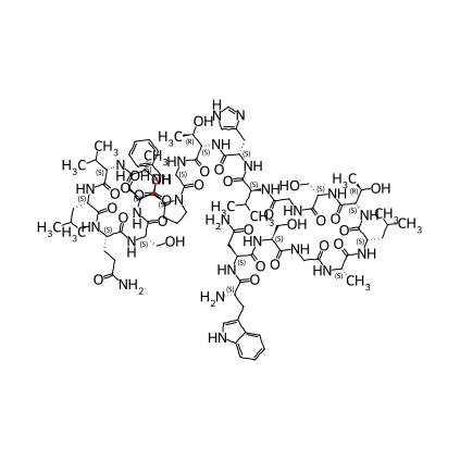 CC(C)C[C@H](NC(=O)[C@H](C)NC(=O)CNC(=O)[C@H](CO)NC(=O)[C@H](CC(N)=O)NC(=O)[C@@H](N)Cc1c[nH]c2ccccc12)C(=O)N[C@H](C(=O)N[C@@H](CO)C(=O)NCC(=O)N[C@H](C(=O)N[C@@H](Cc1c[nH]cn1)C(=O)N[C@H](C(=O)N[C@@H](Cc1ccccc1)C(=O)N1CCC[C@H]1C(=O)N[C@@H](C)C(=O)N[C@H](C(=O)N[C@@H](CC(C)C)C(=O)N[C@@H](CCC(N)=O)C(=O)N[C@@H](CO)C(=O)N[C@@H](CO)C(=O)O)C(C)C)[C@@H](C)O)C(C)C)[C@@H](C)O